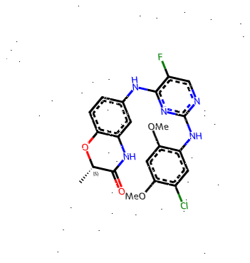 COc1cc(OC)c(Nc2ncc(F)c(Nc3ccc4c(c3)NC(=O)[C@H](C)O4)n2)cc1Cl